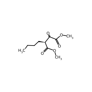 CCCC[C@H](C(=O)OC)C(=O)C(=O)OC